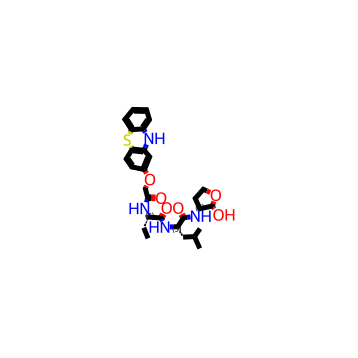 CC[C@H](NC(=O)COc1ccc2c(c1)Nc1ccccc1S2)C(=O)N[C@@H](CC(C)C)C(=O)N[C@H]1CCOC1O